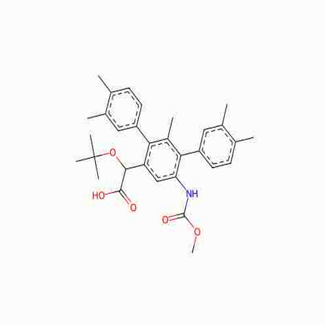 COC(=O)Nc1cc(C(OC(C)(C)C)C(=O)O)c(-c2ccc(C)c(C)c2)c(C)c1-c1ccc(C)c(C)c1